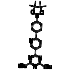 CC(C)(C)c1nc(-c2ccc(-c3ccc(B4OC(C)(C)C(C)(C)O4)cc3)nc2)nc(C(C)(C)C)n1